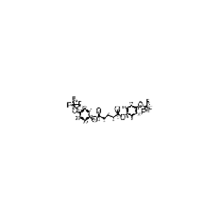 O=C(CCCC(=O)Oc1ccc(OC(F)(F)F)cc1)Oc1ccc(OC(F)(F)F)cc1